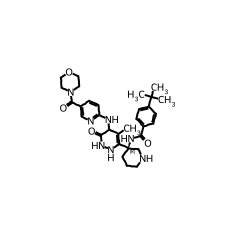 CC1=C([C@@]2(NC(=O)c3ccc(C(C)(C)C)cc3)CCCNC2)NNC(=O)C1Nc1ccc(C(=O)N2CCOCC2)cn1